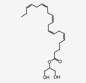 CC/C=C\C/C=C\C/C=C\C/C=C\C/C=C\CCCC(=O)OC(CO)CO